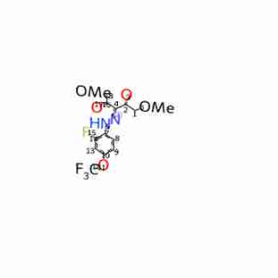 COCC(=O)/C(=N/Nc1ccc(OC(F)(F)F)cc1F)C(=O)OC